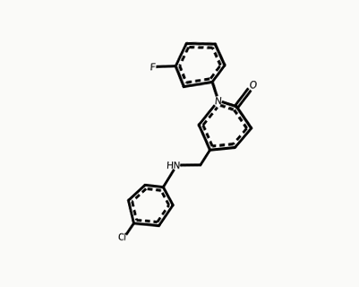 O=c1ccc(CNc2ccc(Cl)cc2)cn1-c1cccc(F)c1